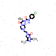 Cc1nc(C)n2c1CN(CCN1CCN(C(=O)[C@H](NC(=O)Nc3ccc(Cl)cc3)C(C)(C)C)CC1)C2=O